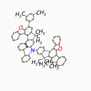 Cc1cc(C)cc(-c2cc3c(c4c2oc2ccccc24)-c2ccc(N(c4ccc5c(c4)C(C)(C)c4c6c(c7oc8ccccc8c7c4-5)-c4ccccc4C6(C)C)c4ccccc4-c4ccccc4)cc2C3(C)C)c1